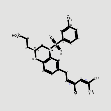 C/C(Cl)=C\C(Cl)=C/Cc1ccc2c(c1)N(S(=O)(=O)c1cccc(C(F)(F)F)c1)C[C@H](CCC(=O)O)O2